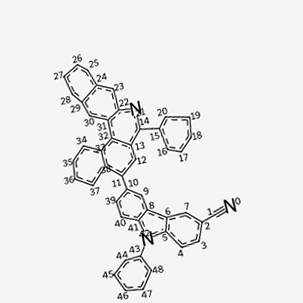 N#Cc1ccc2c(c1)c1cc(-c3cc4c(-c5ccccc5)nc5cc6ccccc6cc5c4c4ccccc34)ccc1n2-c1ccccc1